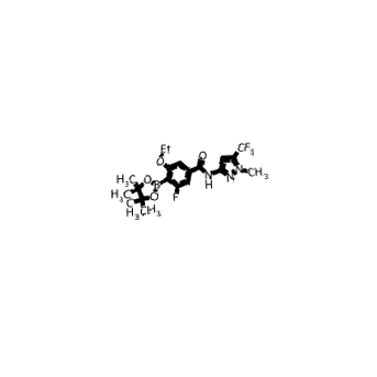 CCOc1cc(C(=O)Nc2cc(C(F)(F)F)n(C)n2)cc(F)c1B1OC(C)(C)C(C)(C)O1